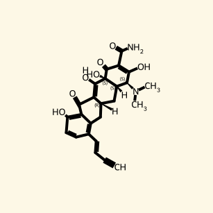 C#CC=Cc1ccc(O)c2c1C[C@H]1C[C@H]3[C@H](N(C)C)C(O)=C(C(N)=O)C(=O)[C@@]3(O)C(O)=C1C2=O